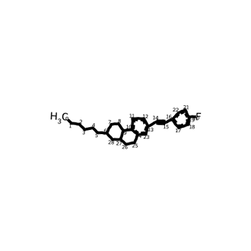 CCCCCCC1CCC2c3ccc(C#Cc4ccc(F)cc4)cc3CCC2C1